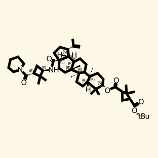 C=C(C)[C@H]1CC[C@]2(C(=O)N[C@@H]3C[C@@H](C(=O)N4CCCCC4)C3(C)C)CC[C@]3(C)[C@H](CCC4[C@@]5(C)CC[C@H](OC(=O)C6CC(C(=O)OC(C)(C)C)C6(C)C)C(C)(C)[C@@H]5CC[C@]43C)[C@@H]12